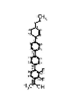 CCCC1C=CC(c2ccc(-c3ccc(-c4ccc(C(C)O)c(F)c4F)cc3)cc2)CC1